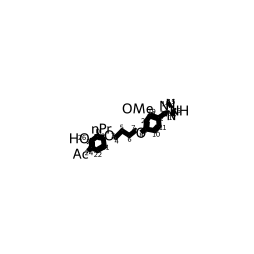 CCCc1c(OCCCCOc2ccc(-c3nn[nH]n3)c(OC)c2)ccc(C(C)=O)c1O